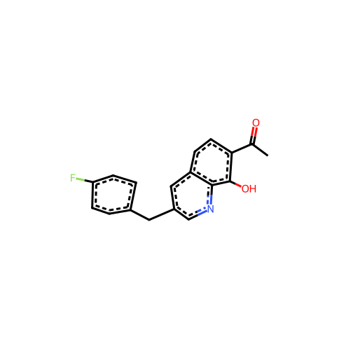 CC(=O)c1ccc2cc(Cc3ccc(F)cc3)cnc2c1O